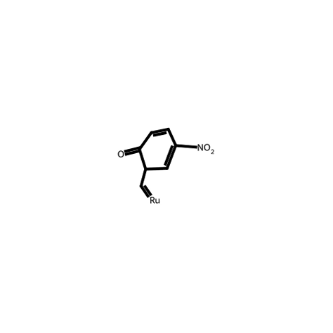 O=C1C=CC([N+](=O)[O-])=CC1[CH]=[Ru]